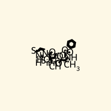 C#C[C@@]1(O)C(F)[C@@H](COP(=O)(N[C@@H](C)C(=O)OC(C)C)Oc2ccccc2)O[C@H]1n1ccc(=S)[nH]c1=S